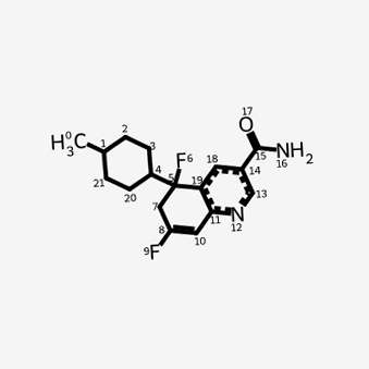 CC1CCC(C2(F)CC(F)=Cc3ncc(C(N)=O)cc32)CC1